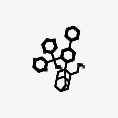 PCC1C2CC3CC(C2)CC1(c1ccc(-c2ccccc2)cc1C(P)(c1cnccn1)c1cnccn1)C3